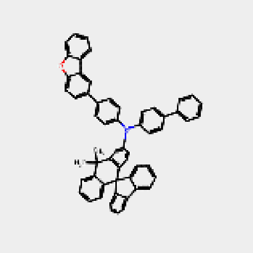 CC1(C)c2ccccc2C2(c3ccccc3-c3ccccc32)c2ccc(N(c3ccc(-c4ccccc4)cc3)c3ccc(-c4ccc5oc6ccccc6c5c4)cc3)cc21